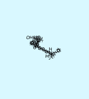 C=CC1CC(C=Cc2ccccc2)CC1C(=O)NCCOCCOCCOCCNC(=O)[C@H](Cc1ccccc1)NC(=O)C(CC(C)C)NC(=O)[C@H](CCCC)NC=O